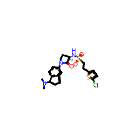 CN(C)C1CCc2cc(N3CC[C@H](NS(=O)(=O)CCc4ccc(Cl)s4)C3=O)ccc21